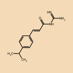 CC(C)c1ccc(C=CC(=O)NC(=N)N)cc1